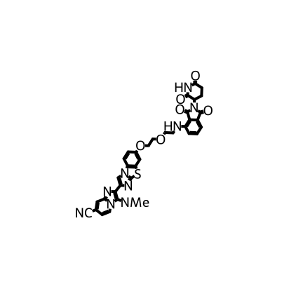 CNc1c(-c2cn3c(n2)sc2cc(OCCOCCNc4cccc5c4C(=O)N(C4CCC(=O)NC4=O)C5=O)ccc23)nc2cc(C#N)ccn12